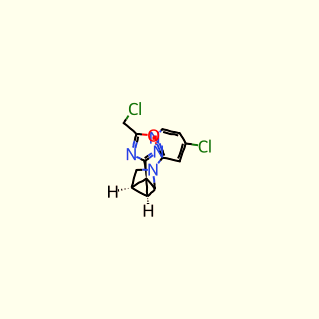 ClCc1nc([C@@]23C4[C@H]2[C@H]3CN4c2cc(Cl)ccn2)no1